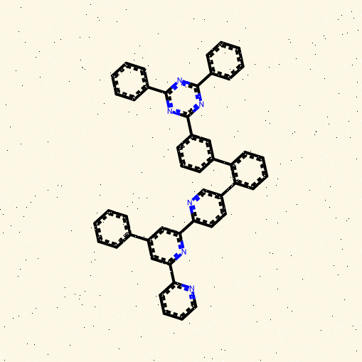 c1ccc(-c2cc(-c3ccccn3)nc(-c3ccc(-c4ccccc4-c4cccc(-c5nc(-c6ccccc6)nc(-c6ccccc6)n5)c4)cn3)c2)cc1